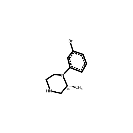 C[C@@H]1CNCCN1c1cccc(Br)c1